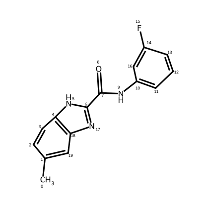 Cc1ccc2[nH]c(C(=O)Nc3cccc(F)c3)nc2c1